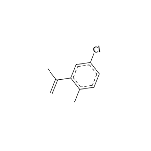 C=C(C)c1cc(Cl)ccc1C